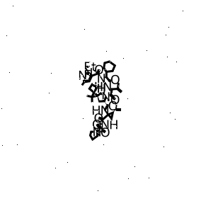 C=C[C@@H]1C[C@]1(NC(=O)[C@@H]1C[C@@]2(CN1C(=O)[C@@H](NC(=O)[C@@H](NC(=O)c1cc(C)nn1CC)C1CCCCC1)C(=C)C)C(C)(C)C21CCC1)C(=O)NS(=O)(=O)N1CCCC1